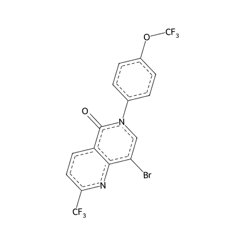 O=c1c2ccc(C(F)(F)F)nc2c(Br)cn1-c1ccc(OC(F)(F)F)cc1